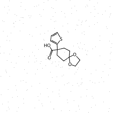 O=C(O)C1(c2cccs2)CCC2(CC1)OCCO2